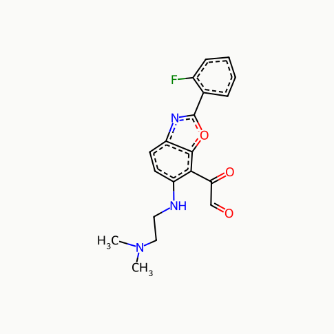 CN(C)CCNc1ccc2nc(-c3ccccc3F)oc2c1C(=O)C=O